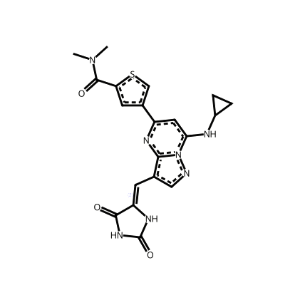 CN(C)C(=O)c1cc(-c2cc(NC3CC3)n3ncc(/C=C4\NC(=O)NC4=O)c3n2)cs1